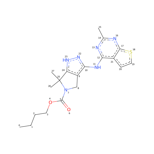 CCCCOC(=O)N1Cc2c(Nc3nc(C)nc4sccc34)n[nH]c2C1(C)C